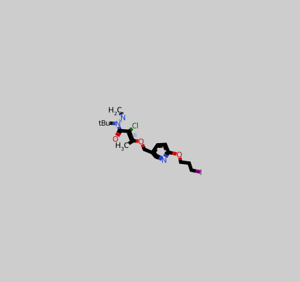 C=NN(C(=O)/C(Cl)=C(\C)OCc1ccc(OCCCI)nc1)C(C)(C)C